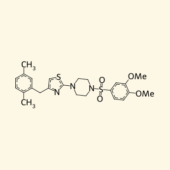 COc1ccc(S(=O)(=O)N2CCN(c3nc(Cc4cc(C)ccc4C)cs3)CC2)cc1OC